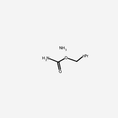 CCCCOC(N)=O.N